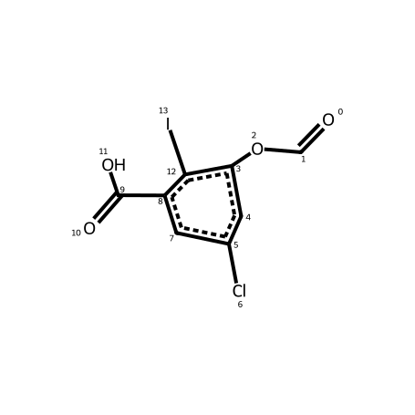 O=COc1cc(Cl)cc(C(=O)O)c1I